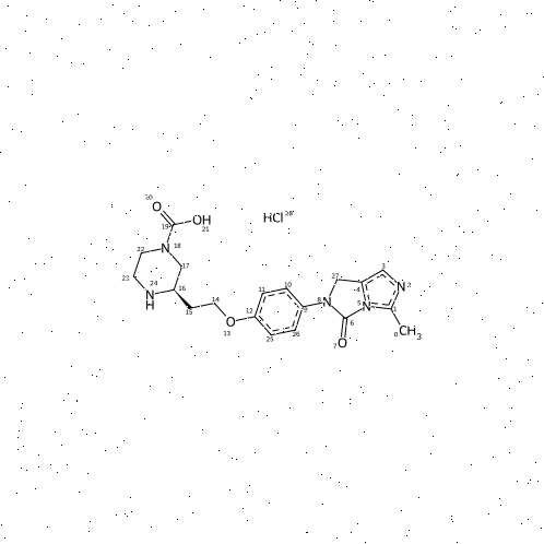 Cc1ncc2n1C(=O)N(c1ccc(OCC[C@@H]3CN(C(=O)O)CCN3)cc1)C2.Cl